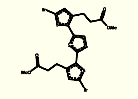 COC(=O)CCc1cc(Br)sc1-c1ccc(-c2sc(Br)cc2CCC(=O)OC)s1